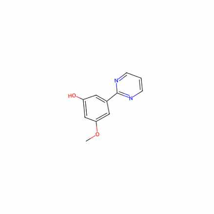 COc1cc(O)cc(-c2ncccn2)c1